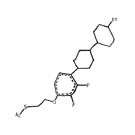 CCC1CCC(C2CCC(c3ccc(OCCSC(C)=O)c(F)c3F)CC2)CC1